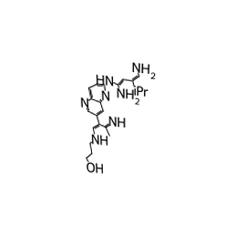 CC(=N)/C(=C\NCCCO)c1cnc2ccc(N/C(N)=C/C(=C\N)C(C)C)nc2c1